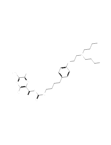 CCCCN(CCCC)CCOc1ccc(CCCCNC(=N)NC(=O)c2nc(Cl)c(N)nc2N)cc1